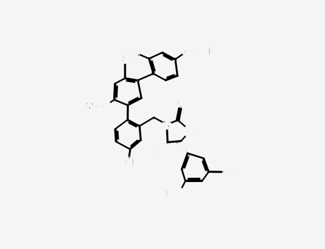 COc1cc(F)c(-c2ccc(C(=O)O)cc2Cl)cc1-c1ccc(C(F)(F)F)cc1CN1C(=O)O[C@H](c2cc(C(F)(F)F)cc(C(F)(F)F)c2)[C@@H]1C